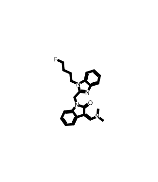 CN(C)C=C1C(=O)N(Cc2nc3ccccc3n2CCCCF)c2ccccc21